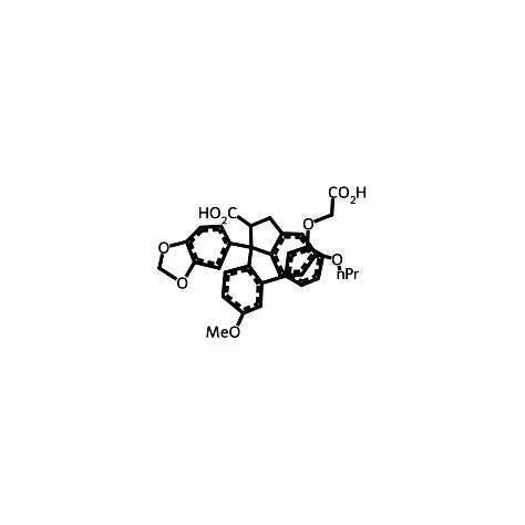 CCCOc1ccc2c(c1)CC(C(=O)O)C2(c1ccc2c(c1)OCO2)c1ccc(OC)cc1-c1cccc(OCC(=O)O)c1